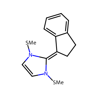 CSN1C=CN(SC)C1=C1CCc2ccccc21